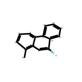 Cc1cccc2c1cc(F)c1ccccc12